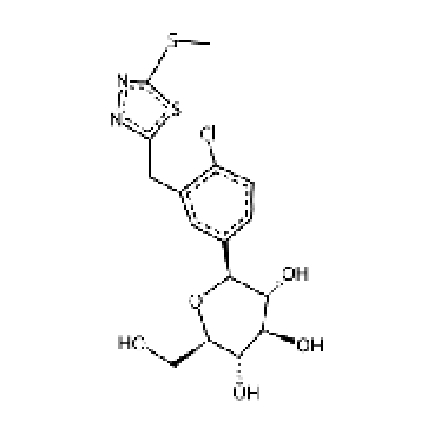 CSc1nnc(Cc2cc([C@@H]3O[C@H](CO)[C@@H](O)[C@H](O)[C@H]3O)ccc2Cl)s1